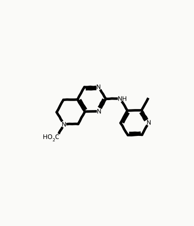 Cc1ncccc1Nc1ncc2c(n1)CN(C(=O)O)CC2